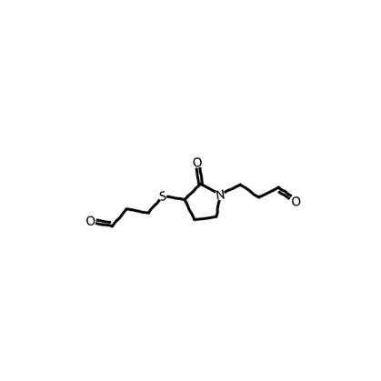 O=CCCSC1CCN(CCC=O)C1=O